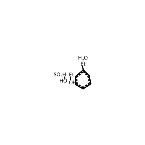 CCO.CCc1ccccc1.O.O=S(=O)(O)O